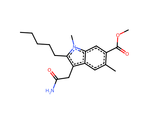 CCCCCc1c(CC(N)=O)c2cc(C)c(C(=O)OC)cc2n1C